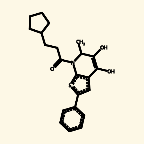 CC1C(O)=C(O)c2cc(-c3ccccc3)sc2N1C(=O)CCC1CCCC1